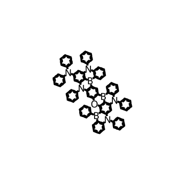 c1ccc(B2c3ccccc3N(c3ccccc3)c3cc4c5c(c32)Oc2cc3c(cc2B5c2ccccc2N4c2ccccc2)B2c4ccccc4N(c4ccccc4)c4cc(N(c5ccccc5)c5ccccc5)cc(c42)N3c2ccccc2)cc1